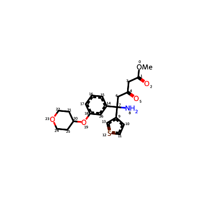 COC(=O)CC(=O)CC(N)(c1ccsc1)c1cccc(OC2CCOCC2)c1